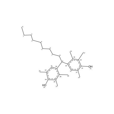 CCCCCCCCCC(c1cc(C)c(O)c(C)c1C)c1cc(C)c(O)c(C)c1C